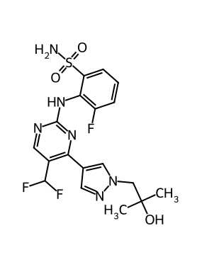 CC(C)(O)Cn1cc(-c2nc(Nc3c(F)cccc3S(N)(=O)=O)ncc2C(F)F)cn1